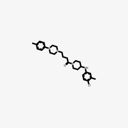 Cc1ccc(N2CCN(CCCC(=O)N3CCC(Nc4ccc(Cl)c(C)c4)CC3)CC2)cc1